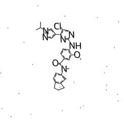 COc1cc(C(=O)N(C)c2ccc3c(c2)CCC3)ccc1Nc1ncc(Cl)c(-c2cnn(C(C)C)c2)n1